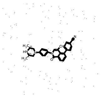 Cc1cn(-c2ccc(N3C[C@@H](C)N[C@H](C)C3)cc2)c(=O)c2cccc(-c3ccc(C#N)cc3)c12